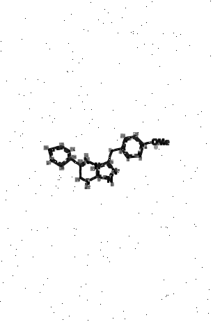 COc1ccc(Cc2nnc3n2N=C(c2ccccc2)CS3)cc1